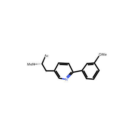 CN[C@@H](Cc1ccc(-c2cccc(OC)c2)nc1)C(C)=O